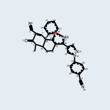 CC1C(=O)C(C#N)=C[C@]2(c3ccccc3)c3n[nH]c(-c4cnn(-c5ccc(C#N)cc5)c4)c3CCC12